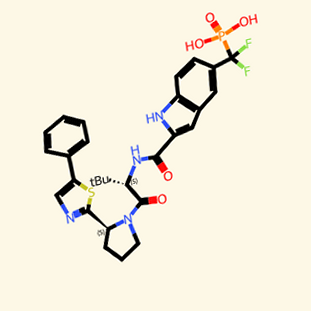 CC(C)(C)[C@H](NC(=O)c1cc2cc(C(F)(F)P(=O)(O)O)ccc2[nH]1)C(=O)N1CCC[C@H]1c1ncc(-c2ccccc2)s1